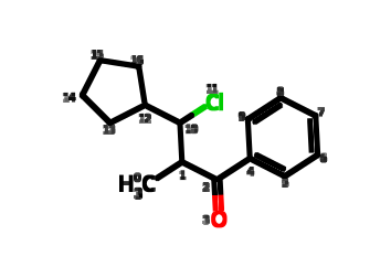 CC(C(=O)c1ccccc1)C(Cl)C1CCCC1